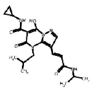 CC(C)Cn1c(=O)c(C(=O)NC2CC2)c(O)n2ncc(C=CC(=O)NC(C)C)c12